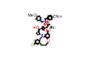 COc1ccc(CN(Cc2ccc(OC)cc2)S(=O)(=O)C(C)CC2C=C([C@@H](O)[C@@H]3CC[C@H]3CN3Cc4ccc(Cl)cc4CCCCOc4ccc(C(=O)OC(C)(C)C)cc43)C2)cc1